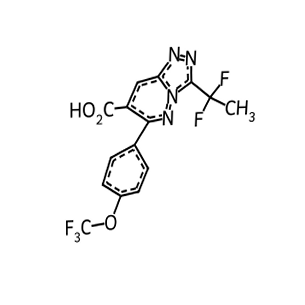 CC(F)(F)c1nnc2cc(C(=O)O)c(-c3ccc(OC(F)(F)F)cc3)nn12